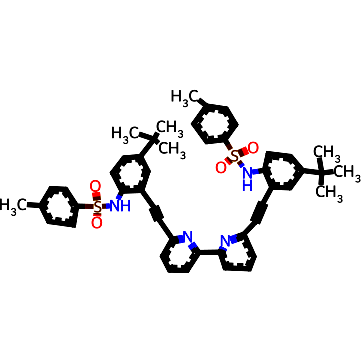 Cc1ccc(S(=O)(=O)Nc2ccc(C(C)(C)C)cc2C#Cc2cccc(-c3cccc(C#Cc4cc(C(C)(C)C)ccc4NS(=O)(=O)c4ccc(C)cc4)n3)n2)cc1